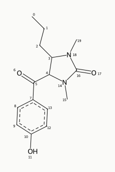 CCCC1C(C(=O)c2ccc(O)cc2)N(C)C(=O)N1C